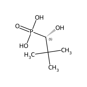 CC(C)(C)[C@@H](O)P(=O)(O)O